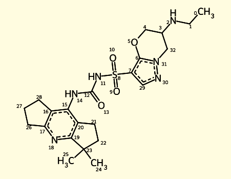 CCNC1COc2c(S(=O)(=O)NC(=O)Nc3c4c(nc5c3CCC5(C)C)CCC4)cnn2C1